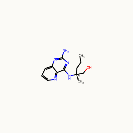 CCC[C@](C)(CO)Nc1nc(N)nc2cccnc12